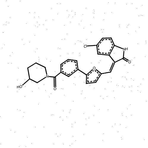 O=C1Nc2ccc(Cl)cc2/C1=C\c1ccc(-c2cccc(C(=O)N3CCCC(O)C3)c2)o1